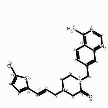 Nc1ncnc2cc(CN3CCN(C/C=C/c4ccc(Cl)s4)CC3=O)ccc12